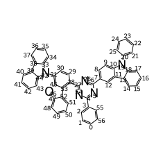 c1ccc(-c2nc(-c3ccc4c(c3)c3ccccc3n4-c3ccccc3)nc(-c3ccc(-n4c5ccccc5c5ccccc54)c4oc5ccccc5c34)n2)cc1